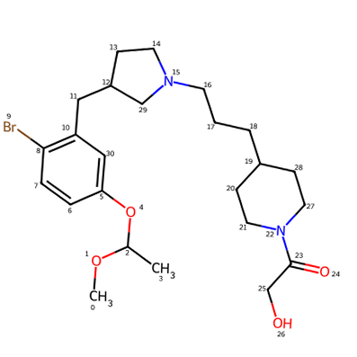 COC(C)Oc1ccc(Br)c(CC2CCN(CCCC3CCN(C(=O)CO)CC3)C2)c1